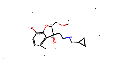 COC[C@@H]1Oc2c(O)ccc(C)c2[C@@]1(O)CCNCC1CC1